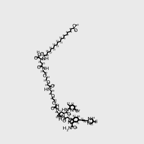 COC(=O)CCCCCCCCCCCCCCCCC(=O)N[C@@H](CCC(=O)NCCOCCOCC(=O)NCCOCCOCC(=O)NC[C@@]12C[C@@H](C(=O)Nc3nc(Br)ccc3C)N(C(=O)Cn3nc(C(N)=O)c4cc(C#Cc5ncc(F)cn5)ccc43)[C@@H]1C2)C(=O)OC